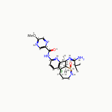 COc1cnc(C(=O)Nc2ccc(F)c([C@@]3(C)N=C(N)C(C)(C)[S@@]4(=O)=NCCCC[C@@H]34)n2)cn1